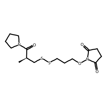 C[C@H](CSSCCCON1C(=O)CCC1=O)C(=O)N1CCCC1